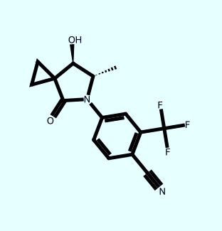 C[C@H]1[C@H](O)C2(CC2)C(=O)N1c1ccc(C#N)c(C(F)(F)F)c1